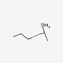 CCCC(C)[SiH3]